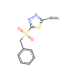 CC(=O)Nc1nnc(S(=O)(=O)Cc2ccccc2)s1